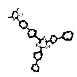 CC1=CC(C)NC(c2ccc(-c3ccc(C4=NC(c5ccc(-c6ccccc6)cc5)NC(c5ccc(-c6ccccc6)cc5)=N4)cc3)cc2)=N1